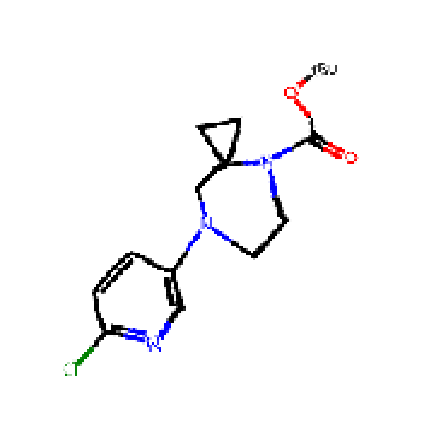 CC(C)(C)OC(=O)N1CCN(c2ccc(Cl)nc2)CC12CC2